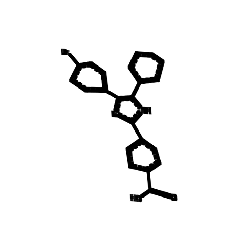 O=C(O)c1ccc(-c2nc(-c3ccc(Br)cc3)c(-c3ccccc3)[nH]2)cc1